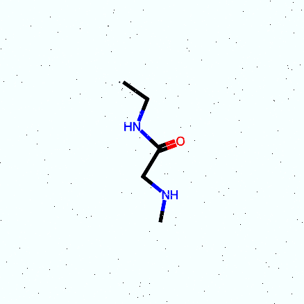 [CH2]CNC(=O)CNC